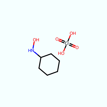 ONC1CCCCC1.[O]=[Cr](=[O])([OH])[OH]